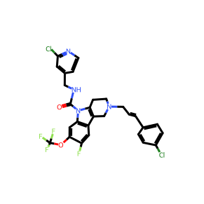 O=C(NCc1ccnc(Cl)c1)n1c2c(c3cc(F)c(OC(F)(F)F)cc31)CN(CC=Cc1ccc(Cl)cc1)CC2